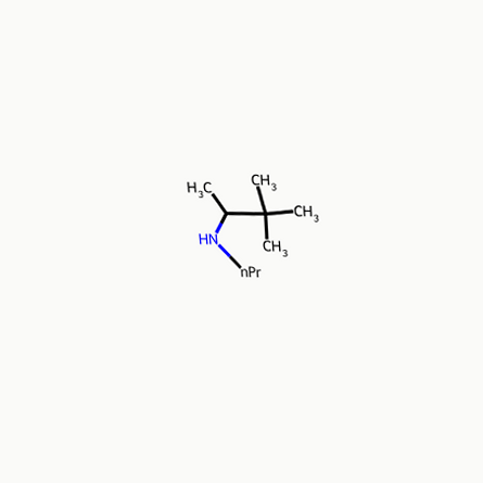 CCCNC(C)C(C)(C)C